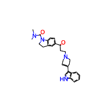 CN(C)C(=O)N1CCc2cc(C(=O)CCN3CC=C(c4c[nH]c5ccccc45)CC3)ccc21